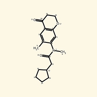 Cc1cc2c(cc1N(C)C(=O)CC1CCCC1)OCCC2=O